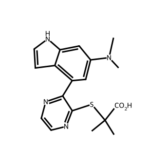 CN(C)c1cc(-c2nccnc2SC(C)(C)C(=O)O)c2cc[nH]c2c1